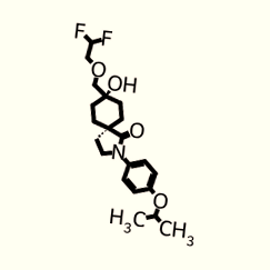 CC(C)Oc1ccc(N2CC[C@]3(CC[C@@](O)(COCC(F)F)CC3)C2=O)cc1